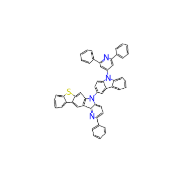 c1ccc(-c2cc(-n3c4ccccc4c4cc(-n5c6cc7sc8ccccc8c7cc6c6nc(-c7ccccc7)ccc65)ccc43)cc(-c3ccccc3)n2)cc1